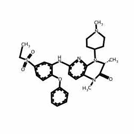 CCS(=O)(=O)c1ccc(Oc2ccccc2)c(Nc2ccc3c(n2)N(C2CCN(C)CC2)[C@H](C)C(=O)N3C)c1